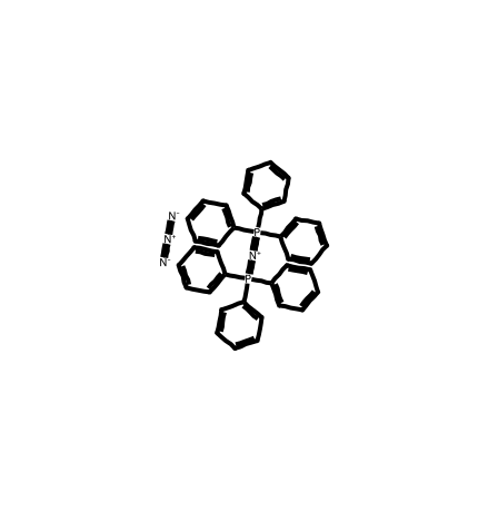 [N-]=[N+]=[N-].c1ccc(P(=[N+]=P(c2ccccc2)(c2ccccc2)c2ccccc2)(c2ccccc2)c2ccccc2)cc1